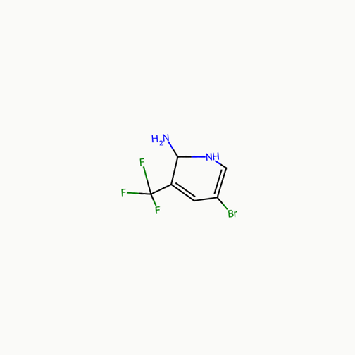 NC1NC=C(Br)C=C1C(F)(F)F